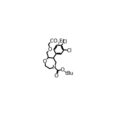 CCOC(=O)COCC1OCCN(C(=O)OC(C)(C)C)CC1c1ccc(Cl)c(Cl)c1